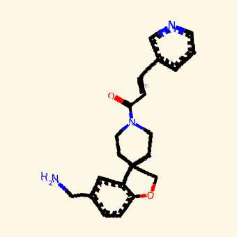 NCc1ccc2c(c1)C1(CCN(C(=O)/C=C/c3cccnc3)CC1)CO2